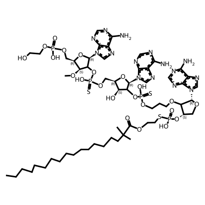 CCCCCCCCCCCCCCCCC(C)(C)C(=O)OCCSP(=O)(O)O[C@H]1CO[C@@H](n2cnc3c(N)ncnc32)C1OCCCOP(O)(=S)OC1[C@@H](O)[C@@H](COP(O)(=S)OC2[C@@H](OC)[C@@H](COP(=O)(O)OCCO)O[C@H]2n2cnc3c(N)ncnc32)O[C@H]1n1cnc2c(N)ncnc21